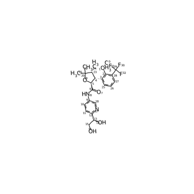 COc1c([C@@H]2[C@@H](C(=O)Nc3ccc([C@@H](O)CO)nc3)OC(C)(C)[C@@H]2C)cccc1C(F)(F)F